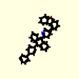 c1ccc(-c2ccc(-c3c4ccccc4c(-c4ccc(-c5cccc6sc7ccccc7c56)cn4)c4ccccc34)cc2)cc1